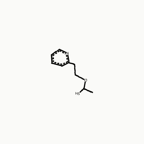 CC(S)OCCc1ccccn1